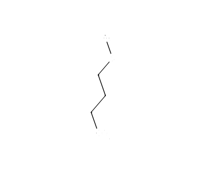 CC(=O)SCCCC(=O)O